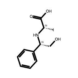 O=C(O)[C@H](I)N[C@H](CO)c1ccccc1